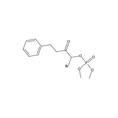 COP(=O)(OC)OC(Br)C(=O)CCc1ccccc1